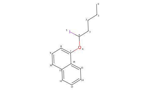 CCCCC(I)Oc1cccc2ccccc12